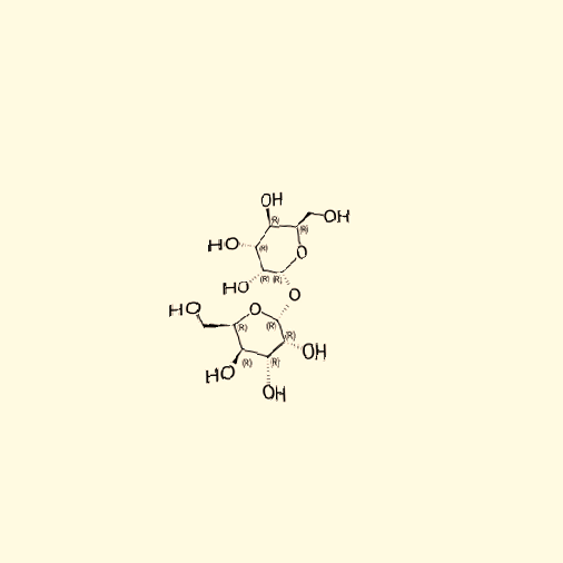 OC[C@H]1O[C@H](O[C@H]2O[C@H](CO)[C@H](O)[C@@H](O)[C@H]2O)[C@H](O)[C@H](O)[C@H]1O